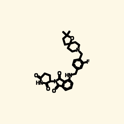 CC1(C)CCC2(CCN(Cc3ccc(CNc4cccc5c4C(=O)N(C4CCC(=O)NC4=O)C5=O)cc3F)CC2)O1